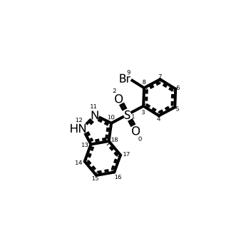 O=S(=O)(c1ccccc1Br)c1n[nH]c2ccccc12